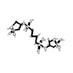 O=S1(=O)CC(OS(=O)(=O)CCCCS(=O)(=O)OC2COS(=O)(=O)C2)CO1